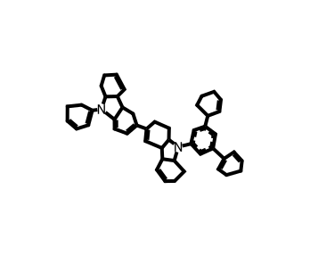 C1=CCCC(N2C3=CC=C(C4=CC5C6C=CCCC6N(c6cc(C7=CCCC=C7)cc(C7C=CCCC7)c6)C5CC4)CC3C3C=CCCC32)=C1